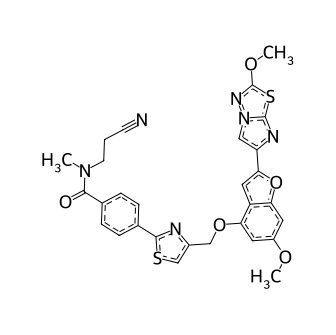 COc1cc(OCc2csc(-c3ccc(C(=O)N(C)CCC#N)cc3)n2)c2cc(-c3cn4nc(OC)sc4n3)oc2c1